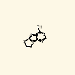 Oc1ncnc2c1nc1n2CCS1